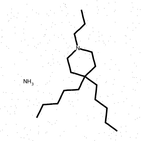 CCCCCC1(CCCCC)CCN(CCC)CC1.N